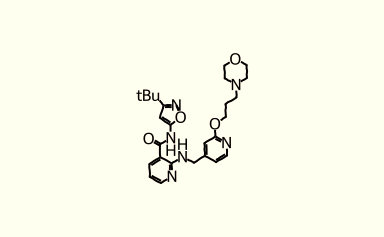 CC(C)(C)c1cc(NC(=O)c2cccnc2NCc2ccnc(OCCCN3CCOCC3)c2)on1